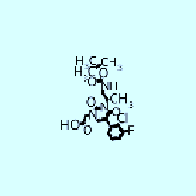 C[C@@H](CNC(=O)OC(C)(C)C)n1c(=O)c(-c2cccc(F)c2Cl)cn(CC(=O)O)c1=O